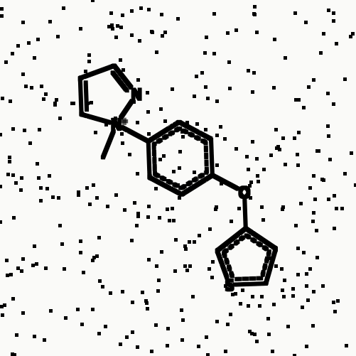 C[N+]1(c2ccc(Oc3ccsc3)cc2)C=CC=N1